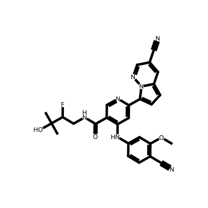 COc1cc(Nc2cc(-c3ccc4cc(C#N)cnn34)ncc2C(=O)NCC(F)C(C)(C)O)ccc1C#N